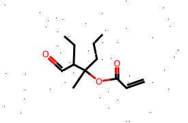 C=CC(=O)OC(C)(CCC)C(C=O)CC